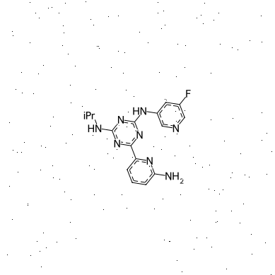 CC(C)Nc1nc(Nc2cncc(F)c2)nc(-c2cccc(N)n2)n1